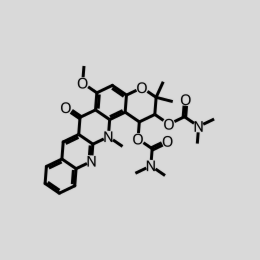 COc1cc2c(c3c1c(=O)c1cc4ccccc4nc1n3C)C(OC(=O)N(C)C)C(OC(=O)N(C)C)C(C)(C)O2